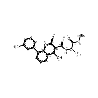 Cc1cccc(-c2cccc3c(O)c(C(=O)N[C@@H](C)C(=O)OC(C)(C)C)c(=O)oc23)c1